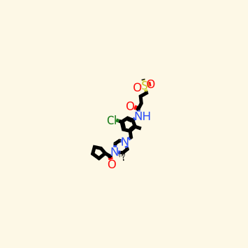 Cc1c(CN2CCN(C(=O)C3CCCC3)[C@@H](C)C2)cc(Cl)cc1NC(=O)CCCS(C)(=O)=O